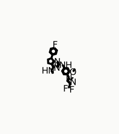 CNc1nc(Nc2ccc(-n3cnc(C(F)F)c3)c(OC)c2)nc2c1CCC2c1ccc(F)cc1